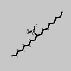 CCCCCCCCC(CCCCCCCC)[SiH](Cl)Cl